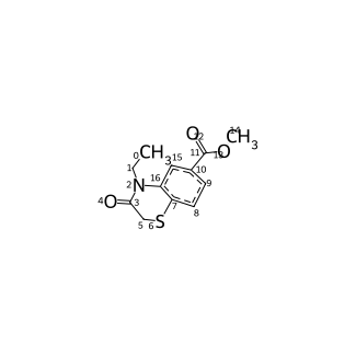 CCN1C(=O)CSc2ccc(C(=O)OC)cc21